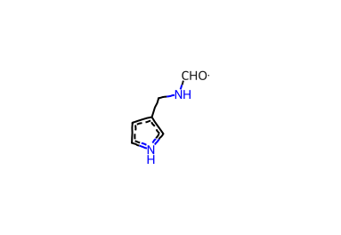 O=[C]NCc1cc[nH]c1